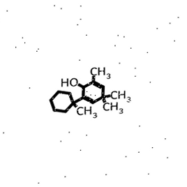 CC1=CC(C)(C)C=C(C2(C)CCCCC2)C1O